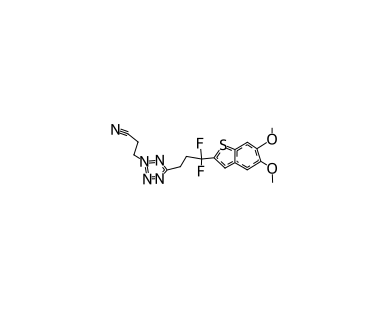 COc1cc2cc(C(F)(F)CCc3nnn(CCC#N)n3)sc2cc1OC